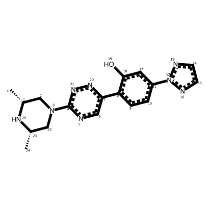 C[C@@H]1CN(c2ncc(-c3ccc(-n4nccn4)cc3O)nn2)C[C@H](C)N1